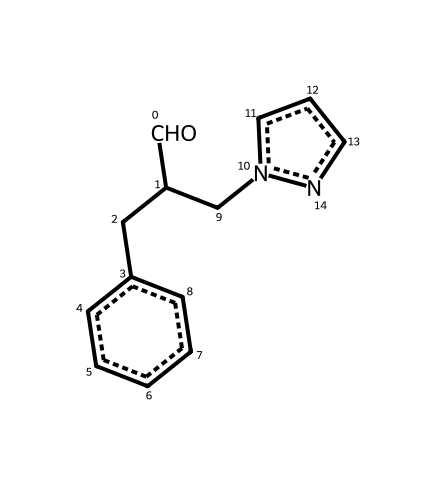 O=CC(Cc1ccccc1)Cn1cccn1